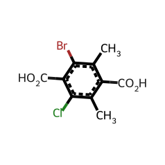 Cc1c(Cl)c(C(=O)O)c(Br)c(C)c1C(=O)O